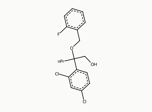 CCCC(CO)(OCc1ccccc1F)c1ccc(Cl)cc1Cl